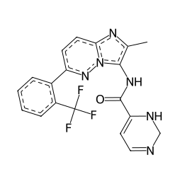 Cc1nc2ccc(-c3ccccc3C(F)(F)F)nn2c1NC(=O)C1=CC=NCN1